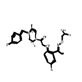 CC(=NOCC(=O)O)c1cc(Br)ccc1OCC(=O)N1C[C@H](C)N(Cc2ccc(F)cc2)C[C@H]1C